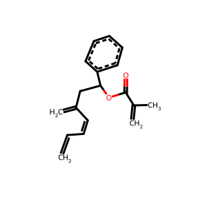 C=C/C=C\C(=C)CC(OC(=O)C(=C)C)c1ccccc1